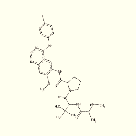 CNC(C)C(=O)NC(C(=O)N1CCCC1C(=O)Nc1cc2c(Nc3ccc(F)cc3)ncnc2cc1OC)C(C)(C)C